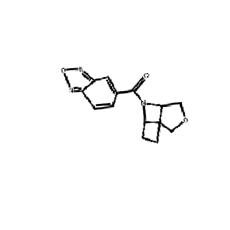 O=C(c1ccc2nonc2c1)N1C2CCC23COCC13